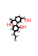 C=C(C)C1CCC(CO)=C[C@H]1c1c(O)cc(CCC)cc1O